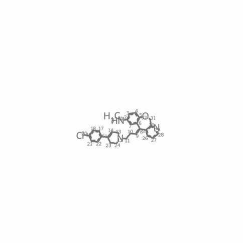 CNc1ccc2c(c1)C(=CCCN1CC=C(c3ccc(Cl)cc3)CC1)c1cccnc1CO2